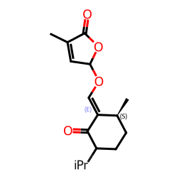 CC1=CC(O/C=C2/C(=O)C(C(C)C)CC[C@@H]2C)OC1=O